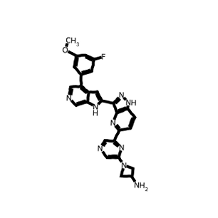 COc1cc(F)cc(-c2cncc3[nH]c(-c4n[nH]c5ccc(-c6cncc(N7CC(N)C7)n6)nc45)cc23)c1